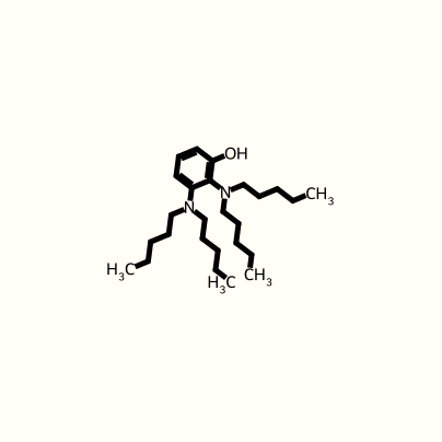 CCCCCN(CCCCC)c1cccc(O)c1N(CCCCC)CCCCC